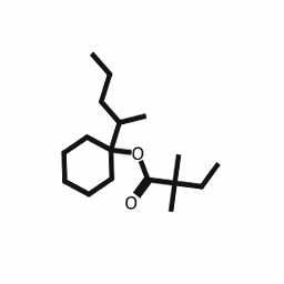 CCCC(C)C1(OC(=O)C(C)(C)CC)CCCCC1